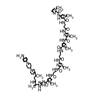 C=C(NCCC(=C)N1CCN(C2CCN(c3ccc(N)cc3)CC2)CC1)c1nc(NC(=O)c2cc(NC(=O)CCNC(=O)c3nc(NC(=O)CCCNC(=O)c4cc(NC(=O)c5nc(NC(=O)CCNC(=O)c6cc(NC(=O)c7nccn7C)cn6C)cn5C)cn4C)cn3C)cn2C)c[nH]1